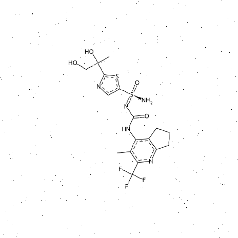 Cc1c(C(F)(F)F)nc2c(c1NC(=O)N=[S@@](N)(=O)c1cnc(C(C)(O)CO)s1)CCC2